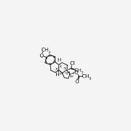 C=C(Cl)[C@]12CC[C@@H]3c4ccc(OC)cc4CC[C@H]3[C@@H]1CC[C@@H]2OC(C)=O